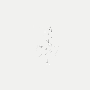 Cc1cc(CN2CC[C@@H]3[C@@H](C)C(=O)C(C#N)=C[C@@]3(c3ccccc3)C2=O)no1